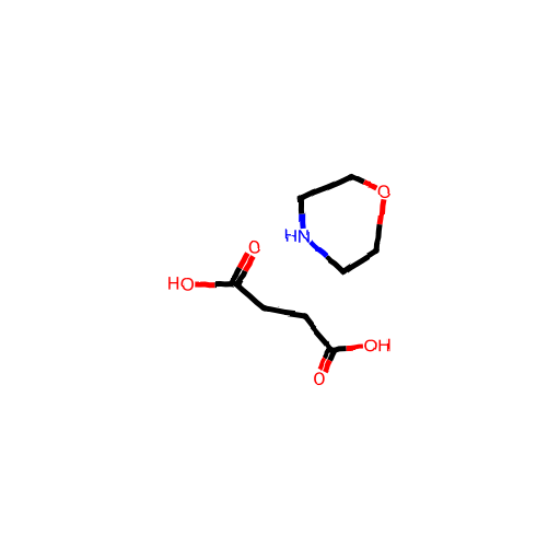 C1COCCN1.O=C(O)CCC(=O)O